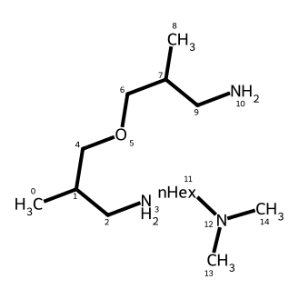 CC(CN)COCC(C)CN.CCCCCCN(C)C